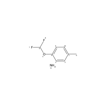 Cc1ccc(OC(F)F)cc1.N